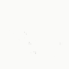 N#CCN(C(=O)NC(C(=O)O)c1ccccc1)C(=O)c1ccc(O)c(O)c1